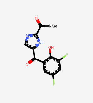 CNC(=O)c1ncc(C(=O)c2cc(F)cc(F)c2O)[nH]1